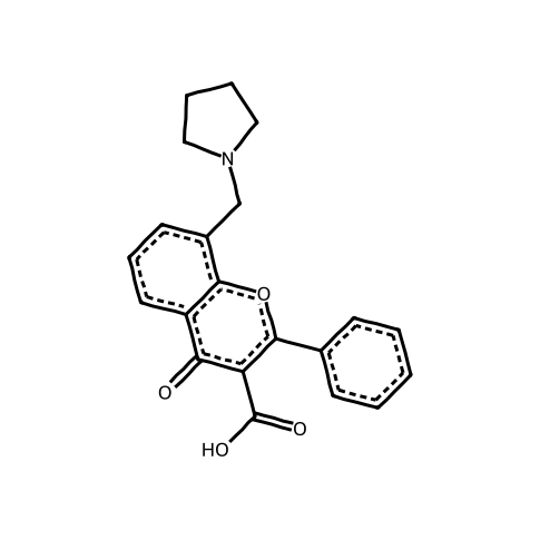 O=C(O)c1c(-c2ccccc2)oc2c(CN3CCCC3)cccc2c1=O